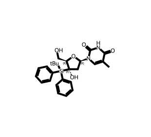 Cc1cn([C@H]2C[C@@](O)([Si](c3ccccc3)(c3ccccc3)C(C)(C)C)[C@@H](CO)O2)c(=O)[nH]c1=O